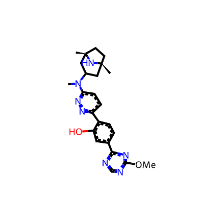 COc1ncnc(-c2ccc(-c3ccc(N(C)C4C[C@]5(C)CC[C@](C)(C4)N5)nn3)c(O)c2)n1